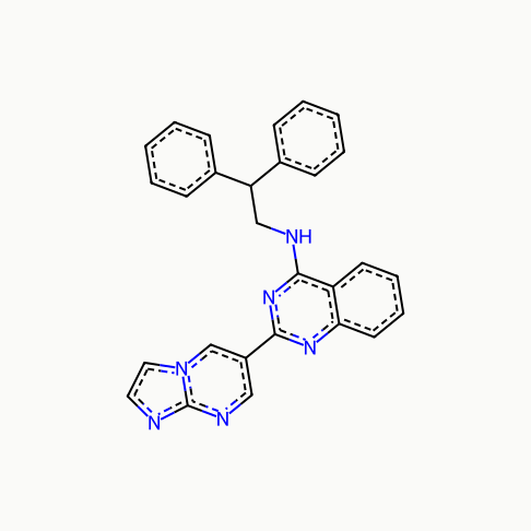 c1ccc(C(CNc2nc(-c3cnc4nccn4c3)nc3ccccc23)c2ccccc2)cc1